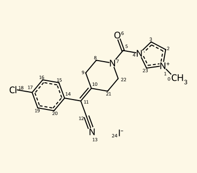 C[n+]1ccn(C(=O)N2CCC(=C(C#N)c3ccc(Cl)cc3)CC2)c1.[I-]